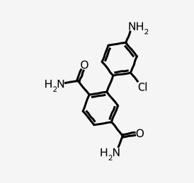 NC(=O)c1ccc(C(N)=O)c(-c2ccc(N)cc2Cl)c1